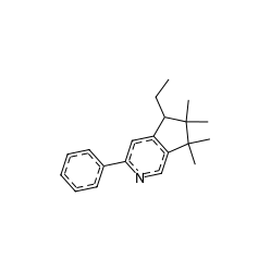 CCC1c2cc(-c3ccccc3)ncc2C(C)(C)C1(C)C